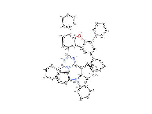 c1ccc(-c2cc(-c3ccccc3)c3oc4c(-c5ccccc5)ccc(-c5nc(-c6ccccc6)nc(-c6cccc7c8ccccc8n(-c8ccccc8)c67)n5)c4c3c2)cc1